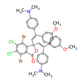 COc1cccc(C(=CC2(C=C(c3ccc(N(C)C)cc3)c3cccc(OC)c3)OC(=O)c3c(Br)c(Cl)c(Cl)c(Br)c32)c2ccc(N(C)C)cc2)c1